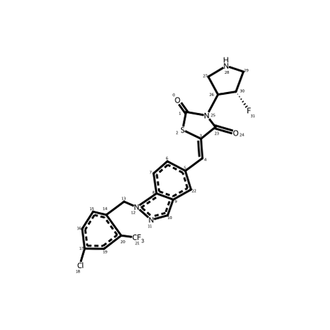 O=C1S/C(=C\c2ccc3c(cnn3Cc3ccc(Cl)cc3C(F)(F)F)c2)C(=O)N1C1CNC[C@@H]1F